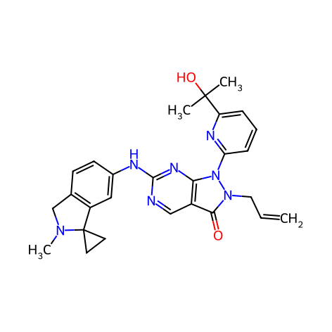 C=CCn1c(=O)c2cnc(Nc3ccc4c(c3)C3(CC3)N(C)C4)nc2n1-c1cccc(C(C)(C)O)n1